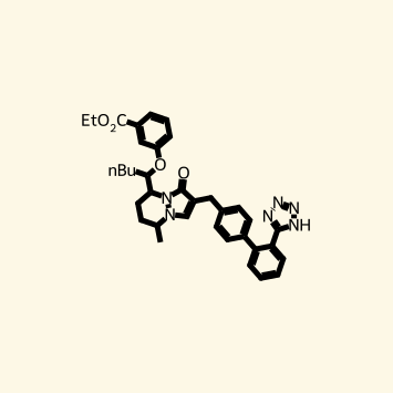 CCCCC(Oc1cccc(C(=O)OCC)c1)C1CCC(C)n2cc(Cc3ccc(-c4ccccc4-c4nnn[nH]4)cc3)c(=O)n21